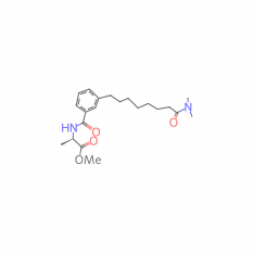 COC(=O)[C@@H](C)NC(=O)c1cccc(CCCCCCCC(=O)N(C)C)c1